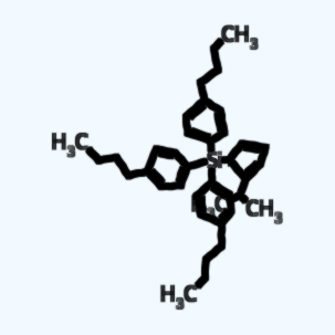 CCCCc1ccc([Si]([C]2C=CC=C2C(C)C)(c2ccc(CCCC)cc2)c2ccc(CCCC)cc2)cc1